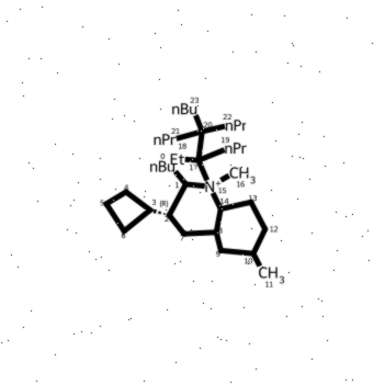 CCCCC1[C@@H](C2CCC2)CC2CC(C)CCC2[N+]1(C)C(CC)(CCC)C(CCC)(CCC)CCCC